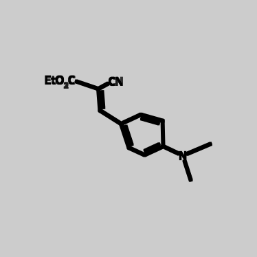 CCOC(=O)/C(C#N)=C/c1ccc(N(C)C)cc1